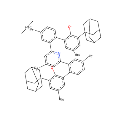 CC(C)c1ccc(-c2cc(C(C)(C)C)cc(C34CC5CC(CC(C5)C3)C4)c2[O-])c(-c2cc(C(F)(F)F)cc(-c3cc(C(C)C)ccc3-c3cc(C(C)(C)C)cc(C45CC6CC(CC(C6)C4)C5)c3[O-])n2)c1.[CH3][Hf+2][CH3]